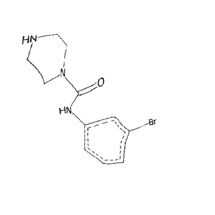 O=C(Nc1cccc(Br)c1)N1CCNCC1